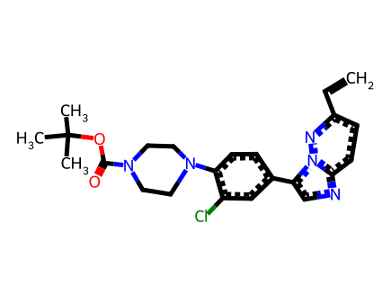 C=Cc1ccc2ncc(-c3ccc(N4CCN(C(=O)OC(C)(C)C)CC4)c(Cl)c3)n2n1